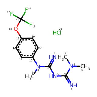 CN(C)C(=N)NC(=N)N(C)c1ccc(OC(F)(F)F)cc1.Cl